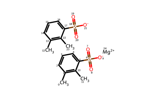 Cc1cccc(S(=O)(=O)[O-])c1C.Cc1cccc(S(=O)(=O)[O-])c1C.[Mg+2]